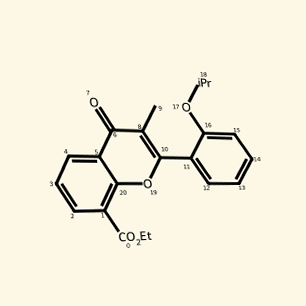 CCOC(=O)c1cccc2c(=O)c(C)c(-c3ccccc3OC(C)C)oc12